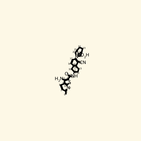 Cc1ccc2c(N)c(C(=O)N[C@@H]3CCc4c(ccc(N5CC6CCC(C5)N6C(=O)O)c4C#N)C3)sc2n1